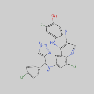 N#Cc1cnc2c(Cl)cc(NC(c3ccc(Cl)cc3)c3c[nH]nn3)cc2c1Nc1ccc(O)c(Cl)c1